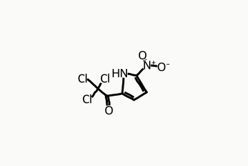 O=C(c1ccc([N+](=O)[O-])[nH]1)C(Cl)(Cl)Cl